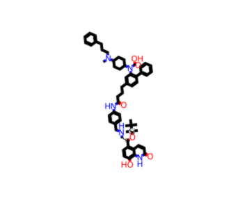 CN(CCCc1ccccc1)C1CCC(N(C(=O)O)c2cc(CCCC(=O)Nc3ccc(CNC[C@H](O[Si](C)(C)C(C)(C)C)c4ccc(O)c5[nH]c(=O)ccc45)cc3)ccc2-c2ccccc2)CC1